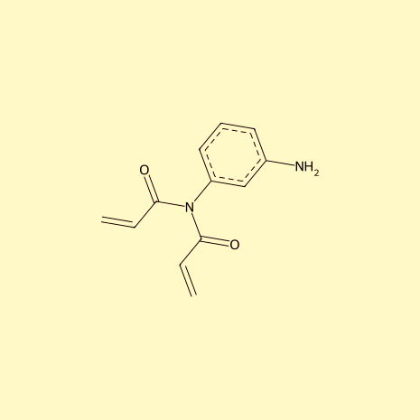 C=CC(=O)N(C(=O)C=C)c1cccc(N)c1